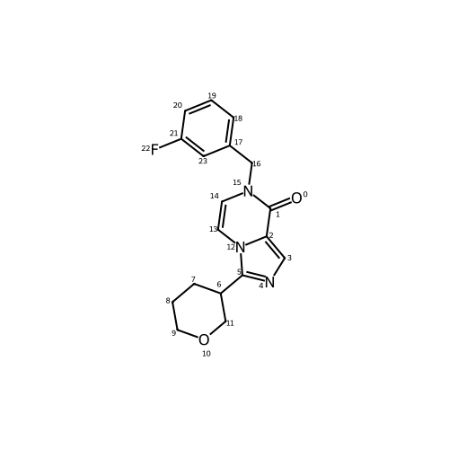 O=c1c2cnc(C3CCCOC3)n2ccn1Cc1cccc(F)c1